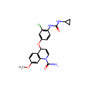 COc1ccc2c(c1)N(C(N)=O)C=CC2Oc1ccc(NC(=O)NC2CC2)c(Cl)c1